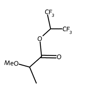 COC(C)C(=O)OC(C(F)(F)F)C(F)(F)F